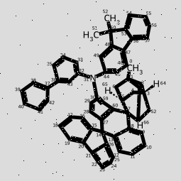 CC12C[C@H]3C[C@H](C1)C1(c4ccccc4C4(c5ccccc5-c5ccccc54)c4ccc(N(c5cccc(-c6ccccc6)c5)c5ccc6c(c5)C(C)(C)c5ccccc5-6)cc41)[C@@H](C3)C2